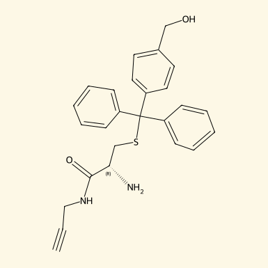 C#CCNC(=O)[C@@H](N)CSC(c1ccccc1)(c1ccccc1)c1ccc(CO)cc1